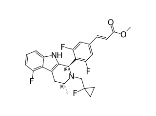 COC(=O)C=Cc1cc(F)c([C@@H]2c3[nH]c4cccc(F)c4c3C[C@@H](C)N2CC2(F)CC2)c(F)c1